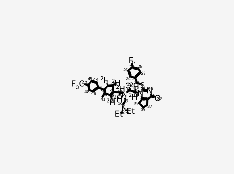 [2H]c1c([2H])c(C([2H])([2H])N(CCN(CC)CC)C(=O)C([2H])([2H])n2c(SCc3ccc(F)cc3)nc(=O)c3c2CCC3)c([2H])c(C)c1-c1ccc(C(F)(F)F)cc1